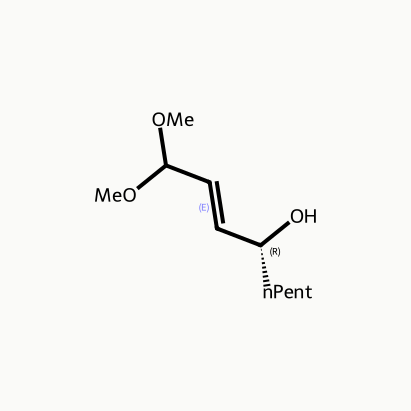 CCCCC[C@@H](O)/C=C/C(OC)OC